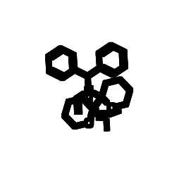 C=C[SiH](C(c1ccccc1)c1ccccc1)C1(C2([SiH](C)C)CCCCO2)CCCCO1